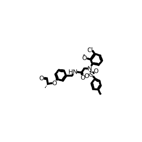 COc1c(Cl)cccc1N(CC(=O)NCc1cccc(O[C@H](C)C=O)c1)S(=O)(=O)c1ccc(C)cc1